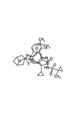 CC(C)Oc1cc(C(=O)NS(=O)(=O)C2(C)CC2)cc2sc(N3C4CC(NCc5c(-c6c(F)cccc6F)noc5C5CC5)CC3C4)nc12